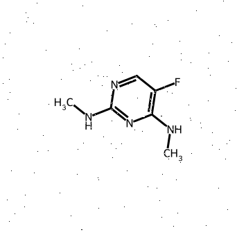 CNc1ncc(F)c(NC)n1